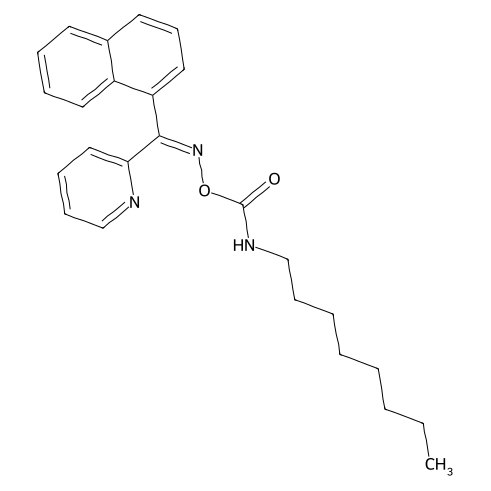 CCCCCCCCNC(=O)O/N=C(\c1ccccn1)c1cccc2ccccc12